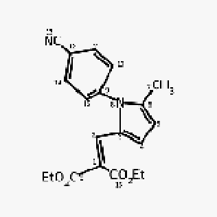 CCOC(=O)C(=Cc1ccc(C)n1-c1ccc(C#N)cc1)C(=O)OCC